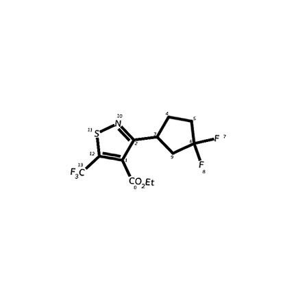 CCOC(=O)c1c(C2CCC(F)(F)C2)nsc1C(F)(F)F